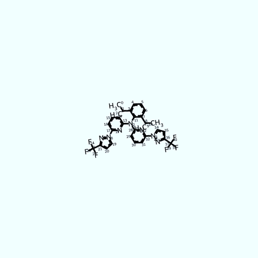 CC(C)c1cccc(C(C)C)c1N(c1cccc(-n2ccc(C(F)(F)F)n2)n1)c1cccc(-n2ccc(C(F)(F)F)n2)n1